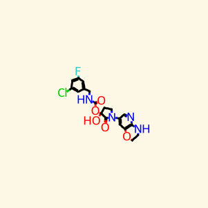 O=C(NCc1cc(F)cc(Cl)c1)OC1(O)CCN(c2cnc3c(c2)OCCN3)C1=O